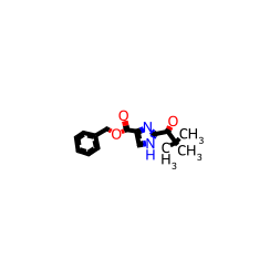 CC(C)(C)C(=O)c1nc(C(=O)OCc2ccccc2)c[nH]1